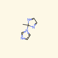 CC1(n2ccnc2)N=CC=N1